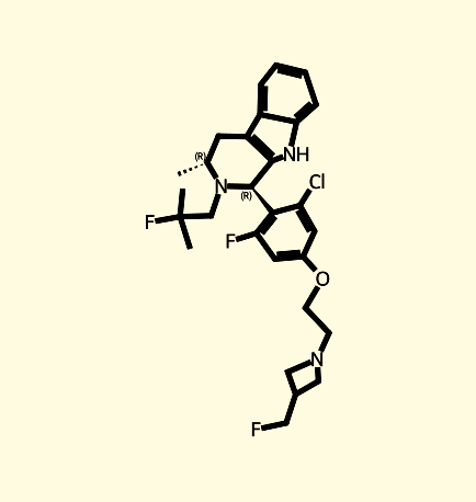 C[C@@H]1Cc2c([nH]c3ccccc23)[C@@H](c2c(F)cc(OCCN3CC(CF)C3)cc2Cl)N1CC(C)(C)F